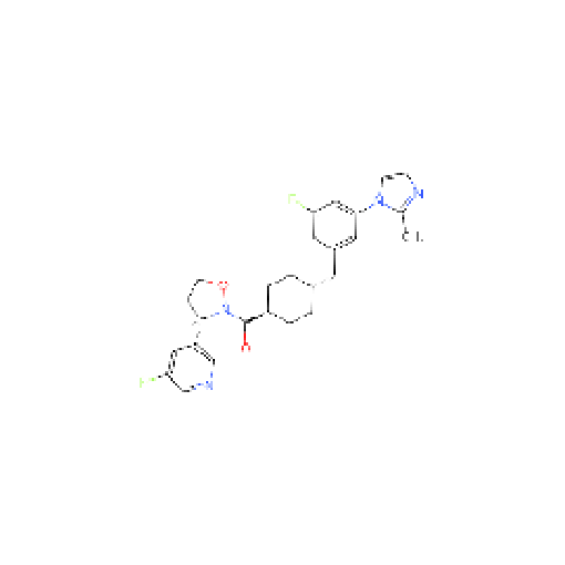 Cc1nccn1-c1cc(F)cc(C[C@H]2CC[C@H](C(=O)N3OCC[C@H]3c3cncc(F)c3)CC2)c1